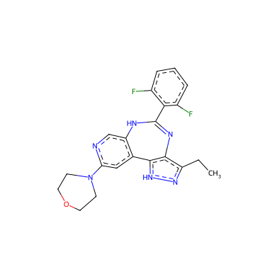 CCc1n[nH]c2c1N=C(c1c(F)cccc1F)Nc1cnc(N3CCOCC3)cc1-2